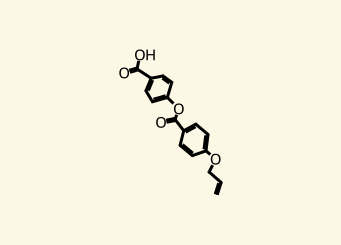 C=CCOc1ccc(C(=O)Oc2ccc(C(=O)O)cc2)cc1